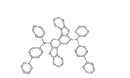 c1ccc(-c2ccc(N(c3ccccc3)c3cc4c(cc(N(c5ccccc5)c5ccc(-c6ccccc6)cc5)c5oc6ccccc6c54)c4c3oc3ccccc34)cc2)cc1